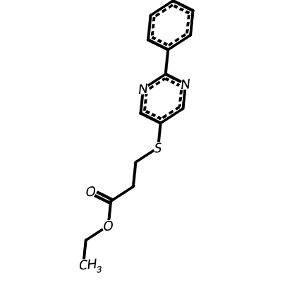 CCOC(=O)CCSc1cnc(-c2ccccc2)nc1